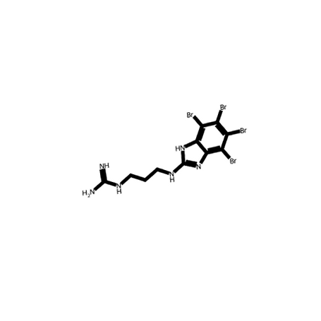 N=C(N)NCCCNc1nc2c(Br)c(Br)c(Br)c(Br)c2[nH]1